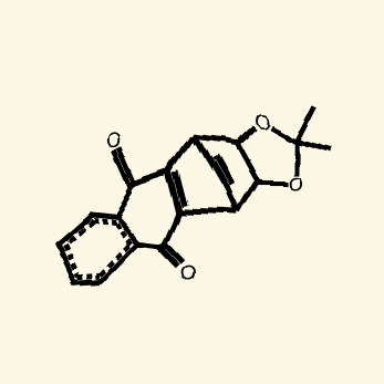 CC1(C)OC2C3C=CC(C4=C3C(=O)c3ccccc3C4=O)C2O1